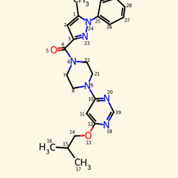 Cc1cc(C(=O)N2CCN(c3cc(OCC(C)C)ncn3)CC2)nn1-c1ccccc1